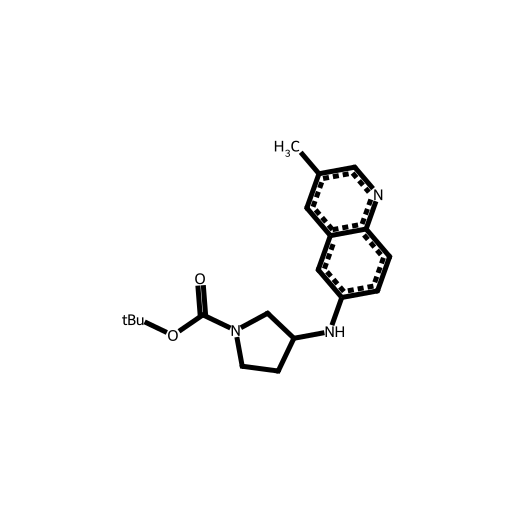 Cc1cnc2ccc(NC3CCN(C(=O)OC(C)(C)C)C3)cc2c1